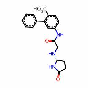 O=C(CN[C@@H]1CCC(=O)N1)Nc1ccc(C(=O)O)c(-c2ccccc2)c1